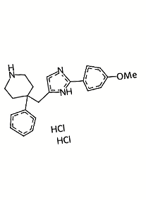 COc1ccc(-c2ncc(CC3(c4ccccc4)CCNCC3)[nH]2)cc1.Cl.Cl